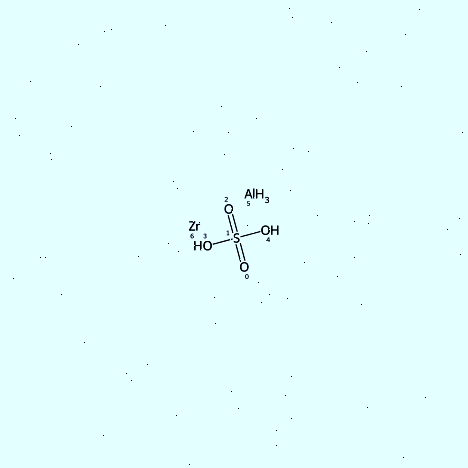 O=S(=O)(O)O.[AlH3].[Zr]